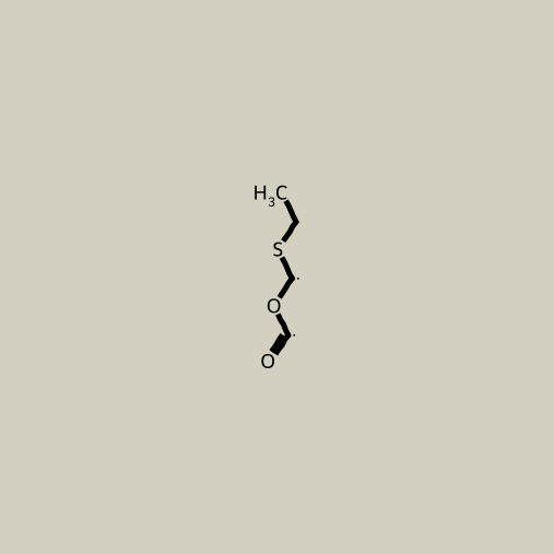 CCS[CH]O[C]=O